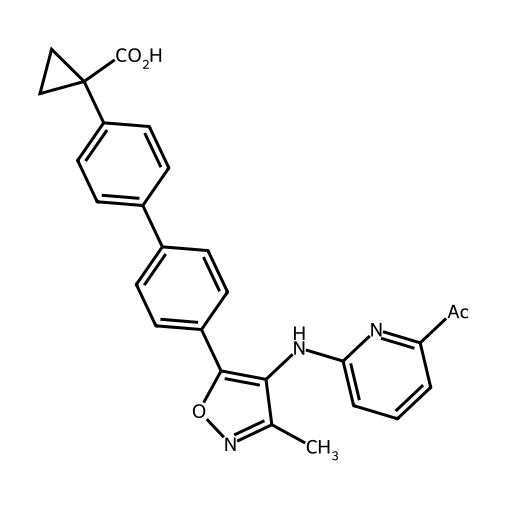 CC(=O)c1cccc(Nc2c(C)noc2-c2ccc(-c3ccc(C4(C(=O)O)CC4)cc3)cc2)n1